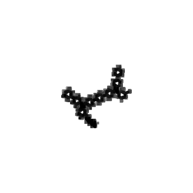 Cc1cccc(N(c2ccc(-c3ccccc3)cc2)c2ccc(-c3ccc(-c4ccc(N(c5ccc(-c6ccccc6)cc5)c5cccc(CN=[N+]=[N-])c5)cc4)cc3)cc2)c1